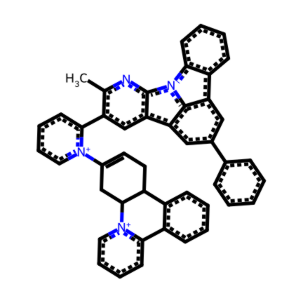 Cc1nc2c(cc1-c1cccc[n+]1C1=CCC3c4ccccc4-c4cccc[n+]4C3C1)c1cc(-c3ccccc3)cc3c4ccccc4n2c31